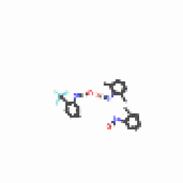 Cc1cccc(C)c1N=C=O.Cc1ccccc1N=C=O.O=C=Nc1ccccc1C(F)(F)F